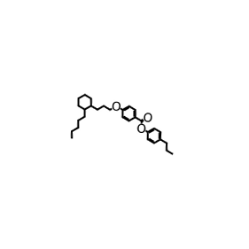 CCCCCC1CCCCC1CCCOc1ccc(C(=O)Oc2ccc(CCC)cc2)cc1